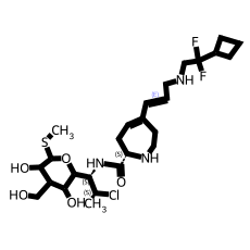 CSC1OC([C@H](NC(=O)[C@@H]2CC=C(/C=C/CNCC(F)(F)C3CCC3)CCN2)[C@H](C)Cl)C(O)C(CO)C1O